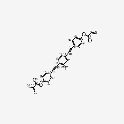 C=CC(=O)Oc1ccc(C#Cc2ccc(C#Cc3ccc(OC(=O)C(=C)C)cc3)c(F)c2)cc1